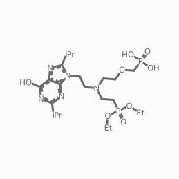 CCOP(=O)(CCN(CCOCP(=O)(O)O)CCn1c(C(C)C)nc2c(O)nc(C(C)C)nc21)OCC